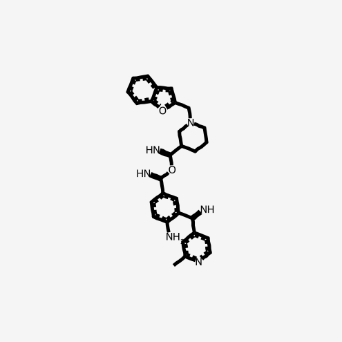 Cc1cc(C(=N)c2cc(C(=N)OC(=N)C3CCCN(Cc4cc5ccccc5o4)C3)ccc2N)ccn1